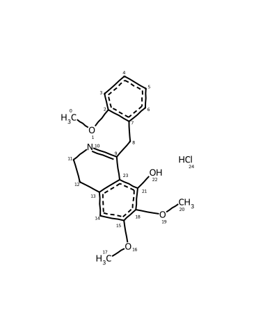 COc1ccccc1CC1=NCCc2cc(OC)c(OC)c(O)c21.Cl